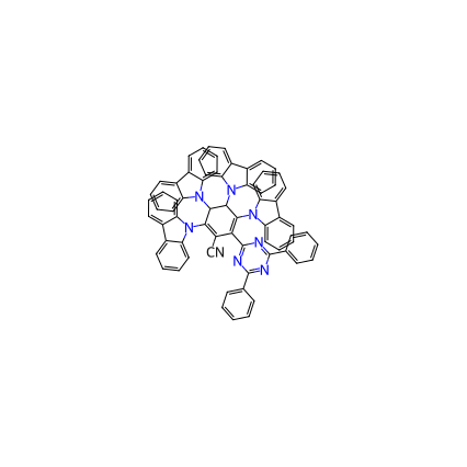 N#CC1=C(n2c3ccccc3c3ccccc32)C(n2c3ccccc3c3ccccc32)C(n2c3ccccc3c3ccccc32)C(n2c3ccccc3c3ccccc32)=C1c1nc(-c2ccccc2)nc(-c2ccccc2)n1